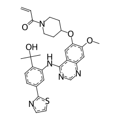 C=CC(=O)N1CCC(Oc2cc3c(Nc4cc(-c5nccs5)ccc4C(C)(C)O)ncnc3cc2OC)CC1